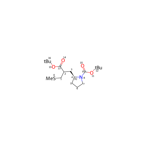 CSCC(C[C@@H]1CCCN1C(=O)OC(C)(C)C)C(=O)OC(C)(C)C